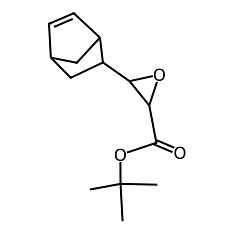 CC(C)(C)OC(=O)C1OC1C1CC2C=CC1C2